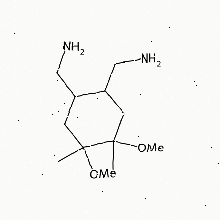 COC1(C)CC(CN)C(CN)CC1(C)OC